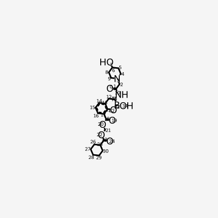 O=C(CN1CCC(O)CC1)N[C@H]1Cc2cccc(C(=O)OCOC(=O)C3CCCCC3)c2OB1O